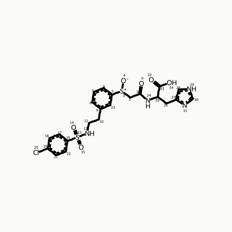 O=C(C[S+]([O-])c1cccc(CCNS(=O)(=O)c2ccc(Cl)cc2)c1)NC(Cc1c[nH]cn1)C(=O)O